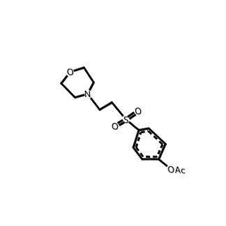 CC(=O)Oc1ccc(S(=O)(=O)CCN2CCOCC2)cc1